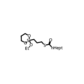 CCCCCCCC(=O)SCCC[Si]1(OCC)OCCCO1